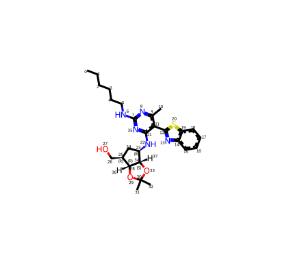 CCCCCCNc1nc(C)c(-c2nc3ccccc3s2)c(N[C@@H]2C[C@H](CO)[C@H]3OC(C)(C)O[C@H]32)n1